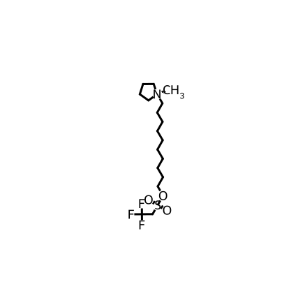 C[N+]1(CCCCCCCCCCOS(=O)(=O)CC(F)(F)F)CCCC1